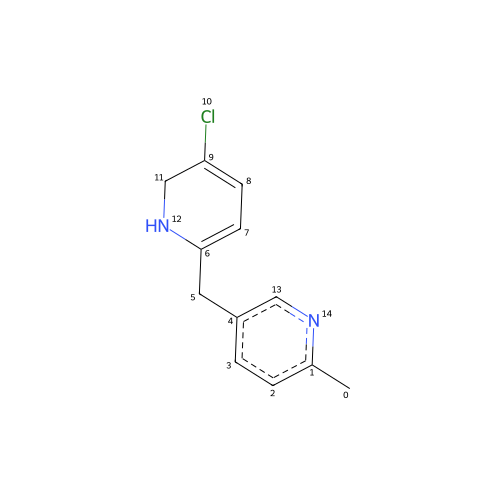 Cc1ccc(CC2=CC=C(Cl)CN2)cn1